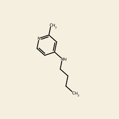 CCCCNc1ccnc(C)c1